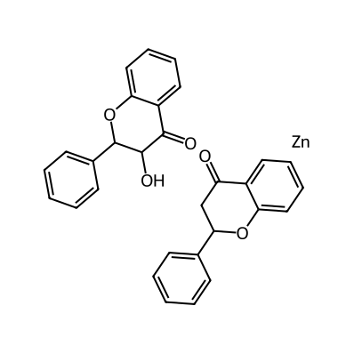 O=C1CC(c2ccccc2)Oc2ccccc21.O=C1c2ccccc2OC(c2ccccc2)C1O.[Zn]